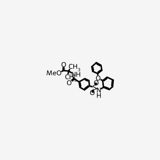 COC(=O)C(C)(C)NC(=O)c1ccc(S(=O)(=O)Nc2ccccc2Oc2ccccc2)cc1